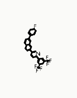 Fc1ccc(-c2ccc3ccc(-c4ccc(-c5cc(C(F)(F)F)cc(C(F)(F)F)c5)nc4)cc3c2)cc1